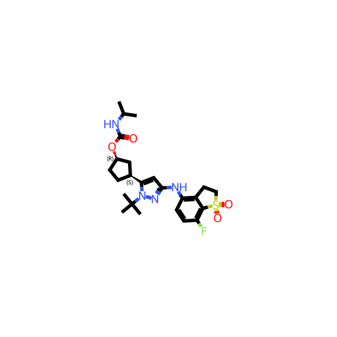 CC(C)NC(=O)O[C@@H]1CC[C@H](c2cc(Nc3ccc(F)c4c3CCS4(=O)=O)nn2C(C)(C)C)C1